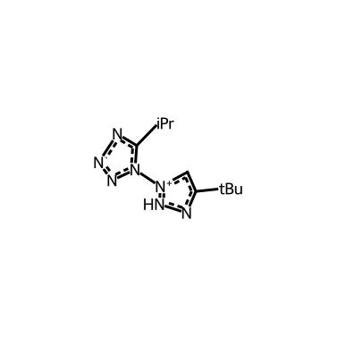 CC(C)c1nnnn1-[n+]1cc(C(C)(C)C)n[nH]1